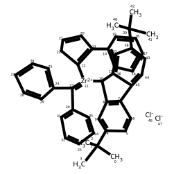 CC(C)(C)c1ccc2c(c1)[CH]([Zr+2]([C]1=C(c3ccccc3)C=CC1)=[C](c1ccccc1)c1ccccc1)c1cc(C(C)(C)C)ccc1-2.[Cl-].[Cl-]